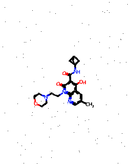 Cc1cnc2c(c1)c(O)c(C(=O)NC13CC(C1)C3)c(=O)n2CCN1CCOCC1